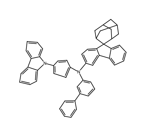 c1ccc(-c2cccc(N(c3ccc(-n4c5ccccc5c5ccccc54)cc3)c3ccc4c(c3)-c3ccccc3C43C4CC5CC(C4)CC3C5)c2)cc1